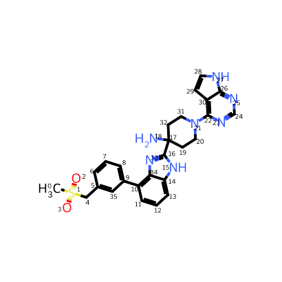 CS(=O)(=O)Cc1cccc(-c2cccc3[nH]c(C4(N)CCN(c5ncnc6[nH]ccc56)CC4)nc23)c1